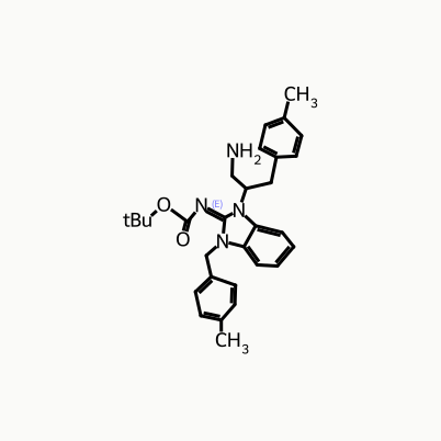 Cc1ccc(CC(CN)n2/c(=N/C(=O)OC(C)(C)C)n(Cc3ccc(C)cc3)c3ccccc32)cc1